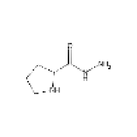 NNC(=O)[C@H]1CCCN1